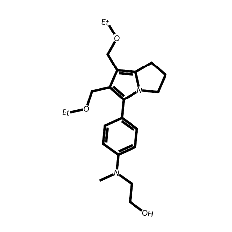 CCOCc1c(COCC)c(-c2ccc(N(C)CCO)cc2)n2c1CCC2